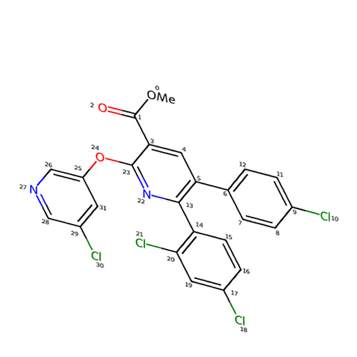 COC(=O)c1cc(-c2ccc(Cl)cc2)c(-c2ccc(Cl)cc2Cl)nc1Oc1cncc(Cl)c1